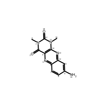 Cn1c(=O)c2nc3ccc(N)cc3nc2n(C)c1=O